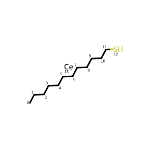 CCCCCCCCCCCCS.[Ce]